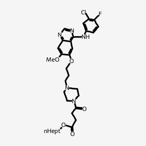 CCCCCCCOC(=O)CCC(=O)N1CCN(CCCOc2cc3c(Nc4ccc(F)c(Cl)c4)ncnc3cc2OC)CC1